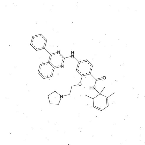 CC1=CC=CC(C)C1(C)NC(=O)c1ccc(Nc2nc(-c3ccccc3)c3ccccc3n2)cc1OCCN1CCCC1